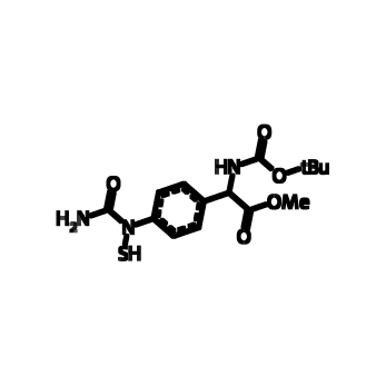 COC(=O)C(NC(=O)OC(C)(C)C)c1ccc(N(S)C(N)=O)cc1